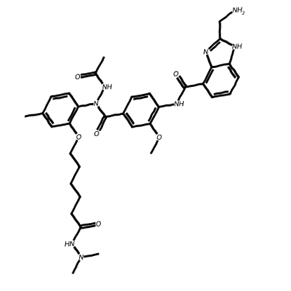 COc1cc(C(=O)N(NC(C)=O)c2ccc(C)cc2OCCCCCC(=O)NN(C)C)ccc1NC(=O)c1cccc2[nH]c(CN)nc12